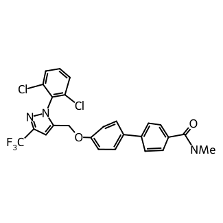 CNC(=O)c1ccc(-c2ccc(OCc3cc(C(F)(F)F)nn3-c3c(Cl)cccc3Cl)cc2)cc1